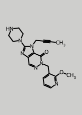 CC#CCn1c(N2CCNCC2)nc2cnn(Cc3cccnc3OC)c(=O)c21